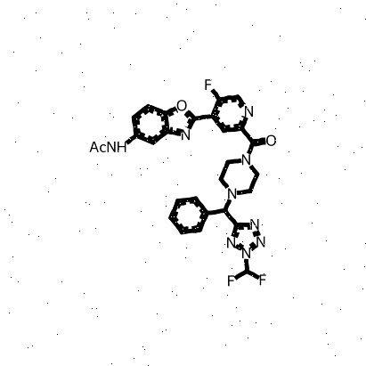 CC(=O)Nc1ccc2oc(-c3cc(C(=O)N4CCN(C(c5ccccc5)c5nnn(C(F)F)n5)CC4)ncc3F)nc2c1